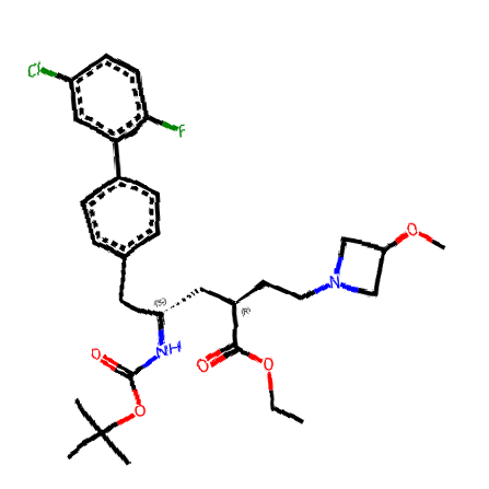 CCOC(=O)[C@H](CCN1CC(OC)C1)C[C@@H](Cc1ccc(-c2cc(Cl)ccc2F)cc1)NC(=O)OC(C)(C)C